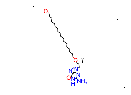 [CH2]C[C@@H](COCCCCCCCCCCCCCCCCCC=O)Cn1cnc2c(=O)[nH]c(N)nc21